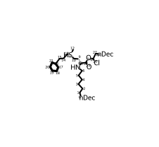 CCCCCCCCCCCCCCCCN[C@H](CC[SH](C)CCCc1ccccc1)C(=O)OC(Cl)CCCCCCCCCCC